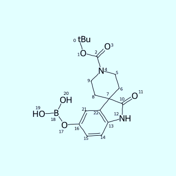 CC(C)(C)OC(=O)N1CCC2(CC1)C(=O)Nc1ccc(OB(O)O)cc12